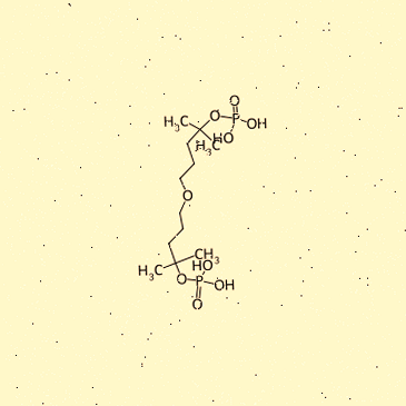 CC(C)(CCCOCCCC(C)(C)OP(=O)(O)O)OP(=O)(O)O